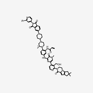 C=CC(=O)Nc1cc(Nc2nc(-c3ccnc(N4CCn5c(cc6c5CC(C)(C)C6)C4=O)c3CO)cn(C)c2=O)ccc1N1CCN(C2CCN(c3ccc4c(c3)C(=O)N(c3ccnc(C(C)C)c3)C4=O)CC2)C[C@@H]1C